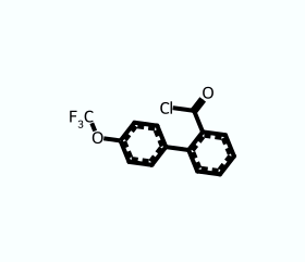 O=C(Cl)c1ccccc1-c1ccc(OC(F)(F)F)cc1